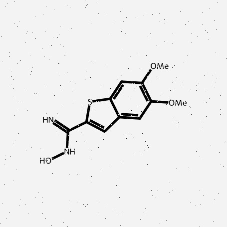 COc1cc2cc(C(=N)NO)sc2cc1OC